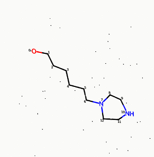 [O]CCCCCCN1CCNCC1